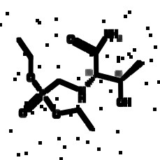 CCOP(=O)(CN[C@H](C(N)=O)[C@@H](C)O)OCC